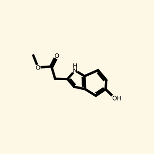 COC(=O)Cc1cc2cc(O)ccc2[nH]1